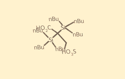 CCCC[Si](CCCC)(CCCC)C(CS(=O)(=O)O)(C(=O)O)[Si](CCCC)(CCCC)CCCC